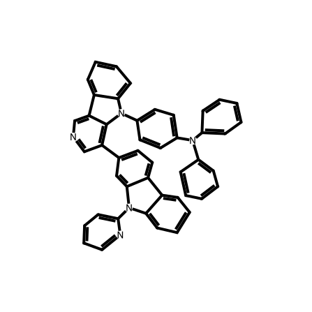 c1ccc(N(c2ccccc2)c2ccc(-n3c4ccccc4c4cncc(-c5ccc6c7ccccc7n(-c7ccccn7)c6c5)c43)cc2)cc1